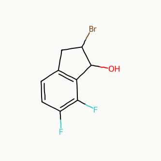 OC1c2c(ccc(F)c2F)CC1Br